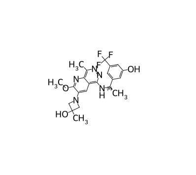 COc1nc2c(C)nnc(N[C@H](C)c3cc(O)cc(C(F)(F)F)c3)c2cc1N1CC(C)(O)C1